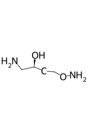 NC[C@@H](O)CCON